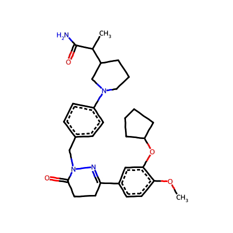 COc1ccc(C2=NN(Cc3ccc(N4CCCC(C(C)C(N)=O)C4)cc3)C(=O)CC2)cc1OC1CCCC1